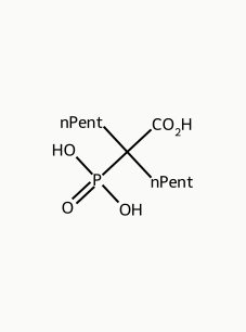 CCCCCC(CCCCC)(C(=O)O)P(=O)(O)O